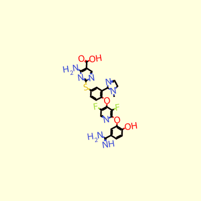 CN1CC=NC1c1cc(Sc2ncc(C(=O)O)c(N)n2)ccc1Oc1c(F)cnc(Oc2cc(C(=N)N)ccc2O)c1F